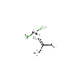 [CH2]C(=C)C.[Cl][Mg][Cl]